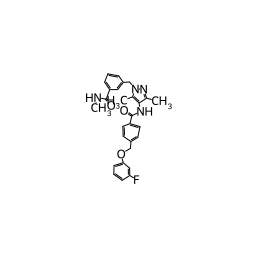 CNC(=O)c1cccc(Cn2nc(C)c(NC(=O)c3ccc(COc4cccc(F)c4)cc3)c2C)c1